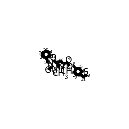 Cn1c(C(=O)OCc2ccc3ccsc3c2)cc2c(=O)n(Cc3ccccc3)c(=O)n(C)c21